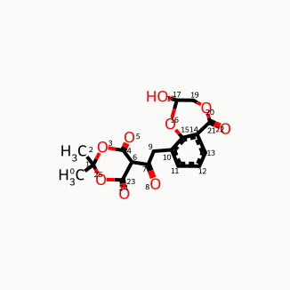 CC1(C)OC(=O)C(C(=O)Cc2cccc3c2OC(O)COC3=O)C(=O)O1